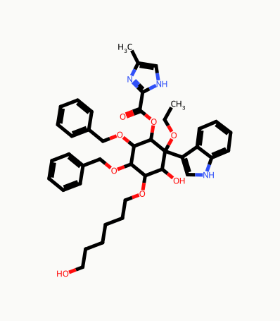 CCOC1(c2c[nH]c3ccccc23)C(O)C(OCCCCCCO)C(OCc2ccccc2)C(OCc2ccccc2)C1OC(=O)c1nc(C)c[nH]1